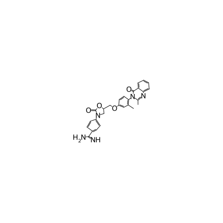 Cc1cc(OCC2CN(c3ccc(C(=N)N)cc3)C(=O)O2)ccc1-n1c(C)nc2ccccc2c1=O